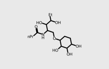 CCCC(=O)NC(COC1CCC(O)C(O)C1O)C(O)C(O)CC